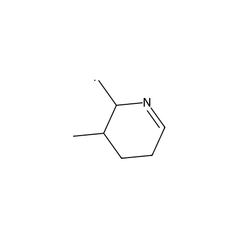 [CH2]C1N=CCCC1C